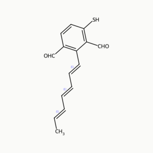 C/C=C/C=C/C=C/c1c(C=O)ccc(S)c1C=O